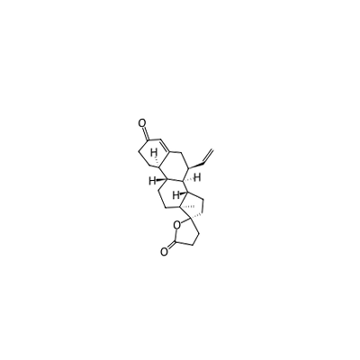 C=C[C@@H]1CC2=CC(=O)CC[C@@H]2[C@H]2CC[C@@]3(C)[C@@H](CC[C@@]34CCC(=O)O4)[C@@H]21